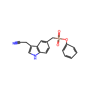 N#CCc1c[nH]c2ccc(CS(=O)(=O)Oc3ccccc3)cc12